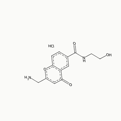 Cl.NCc1cc(=O)c2cc(C(=O)NCCO)ccc2o1